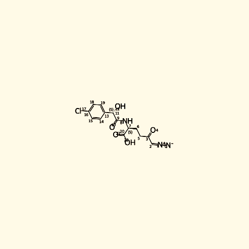 [N-]=[N+]=CC(=O)CC[C@H](NC(=O)[C@@H](O)c1ccc(Cl)cc1)C(=O)O